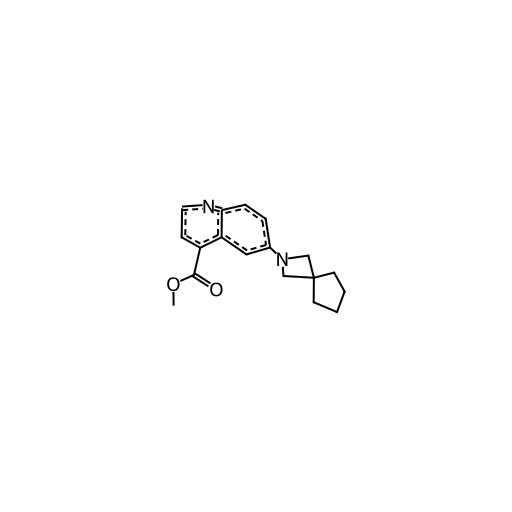 COC(=O)c1ccnc2ccc(N3CC4(CCCC4)C3)cc12